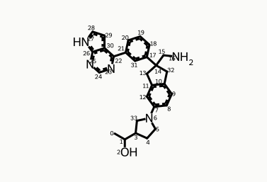 CC(O)C1CCN(c2ccc3c(c2)CC(CN)(c2cccc(-c4ncnc5[nH]ccc45)c2)C3)C1